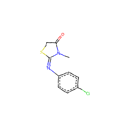 CN1C(=O)CSC1=Nc1ccc(Cl)cc1